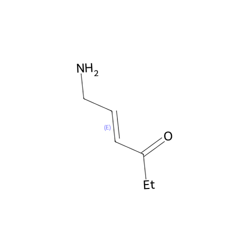 CCC(=O)/C=C/CN